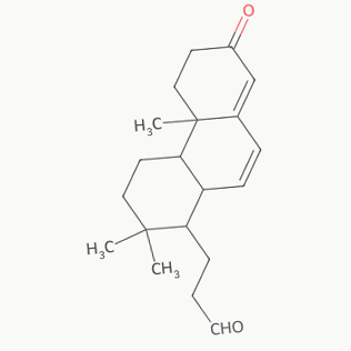 CC1(C)CCC2C(C=CC3=CC(=O)CCC32C)C1CCC=O